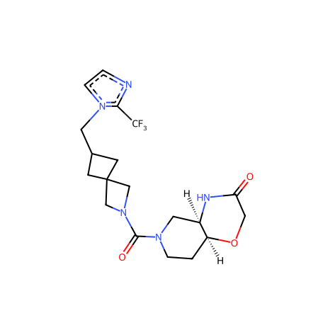 O=C1CO[C@H]2CCN(C(=O)N3CC4(CC(Cn5ccnc5C(F)(F)F)C4)C3)C[C@H]2N1